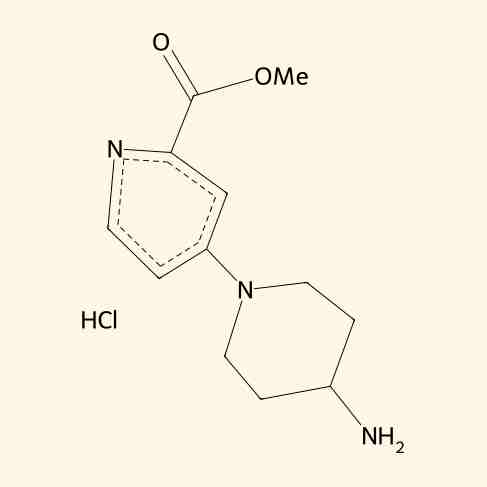 COC(=O)c1cc(N2CCC(N)CC2)ccn1.Cl